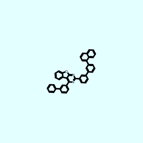 c1ccc(-c2cccc(-c3nc(-c4cccc(-c5cccc(-c6cccc7ccccc67)c5)c4)nc4oc5ccccc5c34)c2)cc1